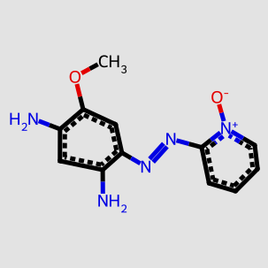 COc1cc(N=Nc2cccc[n+]2[O-])c(N)cc1N